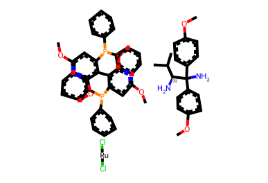 COc1cc(P(c2ccccc2)c2ccccc2)c(-c2c(P(c3ccccc3)c3ccccc3)cc(OC)nc2OC)c(OC)n1.COc1ccc(C(N)(c2ccc(OC)cc2)[C@@H](N)C(C)C)cc1.[Cl][Ru][Cl]